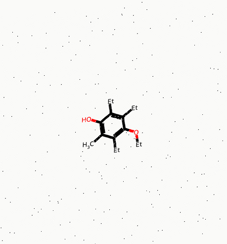 CCOc1c(CC)c(C)c(O)c(CC)c1CC